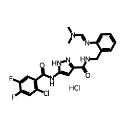 CN(C)C=Nc1ccccc1CNC(=O)c1cc(NC(=O)c2cc(F)c(F)cc2Cl)[nH]n1.Cl